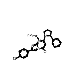 CCCCCn1c(N2CCCC2c2ccccc2)cc(=O)n2cc(-c3ccc(Cl)cc3)nc12